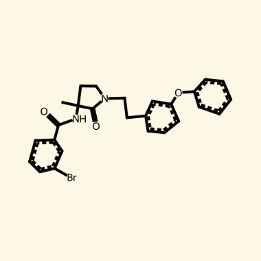 CC1(NC(=O)c2cccc(Br)c2)CCN(CCc2cccc(Oc3ccccc3)c2)C1=O